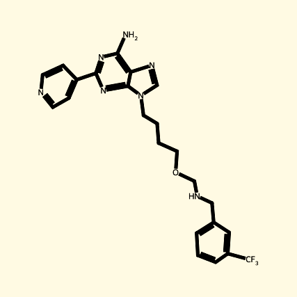 Nc1nc(-c2ccncc2)nc2c1ncn2CCCCOCNCc1cccc(C(F)(F)F)c1